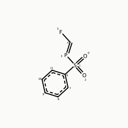 O=S(=O)(P=CF)c1ccccc1